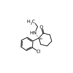 CCN[C@@]1(c2ccccc2Cl)CCCCC1=O